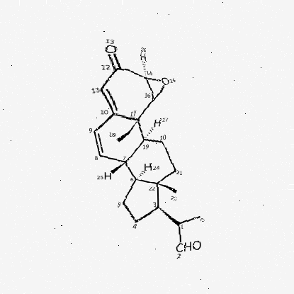 CC(C=O)[C@H]1CC[C@H]2[C@@H]3C=CC4=CC(=O)[C@H]5OC5[C@]4(C)[C@H]3CC[C@]12C